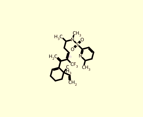 C=CC1(C)CCCC=C1C(=C)/C(=C\CC(C)N(C)S(=O)(=O)C1=NC(C)CC=C1)C(F)(F)F